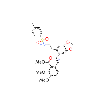 COC(=O)c1c(/C=C/c2cc3c(cc2CCNS(=O)(=O)c2ccc(C)cc2)OCO3)ccc(OC)c1OC